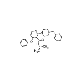 CC(C)OC(=O)c1c(Oc2ccccc2)ccnc1N1CCN(Cc2ccccc2)CC1